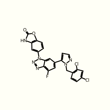 O=c1[nH]c2cc(-n3nnc4c(F)cc(-c5ccnn5Cc5ccc(Cl)cc5Cl)cc43)ccc2o1